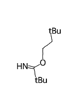 CC(C)(C)CCOC(=N)C(C)(C)C